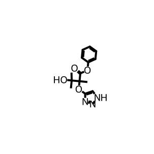 CC(C)(O)C(C)(Oc1c[nH]nn1)C(=O)Oc1ccccc1